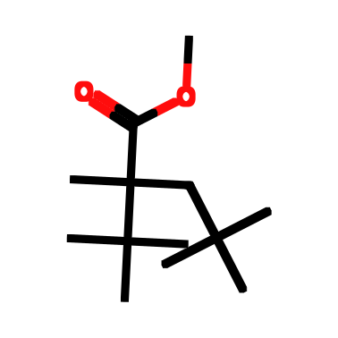 COC(=O)C(C)(CC(C)(C)C)C(C)(C)C